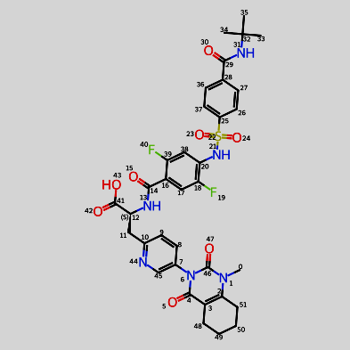 Cn1c2c(c(=O)n(-c3ccc(C[C@H](NC(=O)c4cc(F)c(NS(=O)(=O)c5ccc(C(=O)NC(C)(C)C)cc5)cc4F)C(=O)O)nc3)c1=O)CCCC2